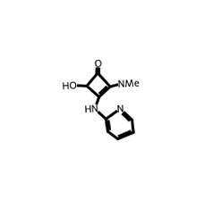 CNC1=C(Nc2ccccn2)C(O)C1=O